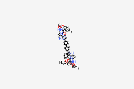 COC(=O)N[C@H](C(=O)N1CCC[C@H]1c1ncc(-c2ccc(-c3ccc(-c4[nH]c([C@@H]5CCCN5C(=O)[C@@H](NC(=O)OC)[C@@H](C)OC)c5c4CCCC5)cc3)cc2)[nH]1)C(C)C